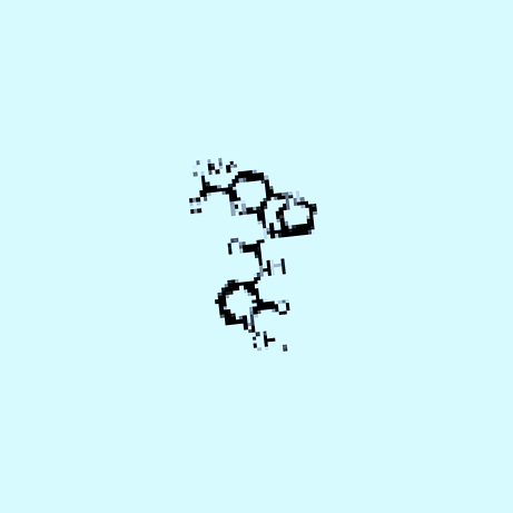 COC(=O)C1=NC2C(C=C1)N1CC=C(C1)N2C(=O)Nc1cccn(C)c1=O